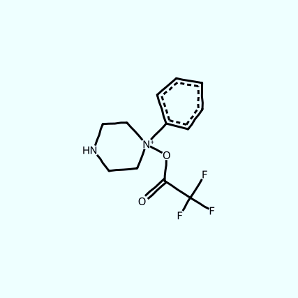 O=C(O[N+]1(c2ccccc2)CCNCC1)C(F)(F)F